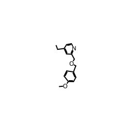 CCc1ccnc(COCc2ccc(OC)cc2)c1